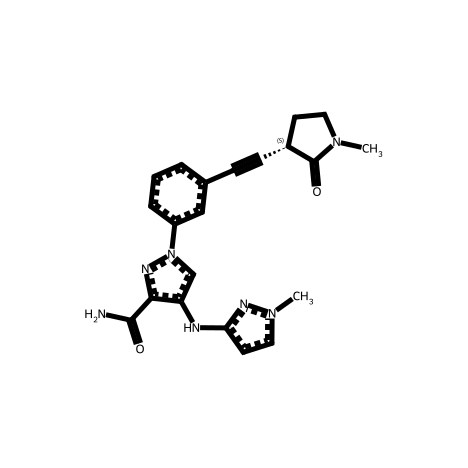 CN1CC[C@@H](C#Cc2cccc(-n3cc(Nc4ccn(C)n4)c(C(N)=O)n3)c2)C1=O